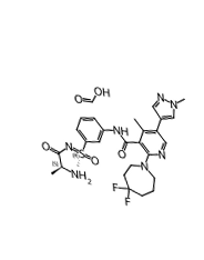 Cc1c(-c2cnn(C)c2)cnc(N2CCCC(F)(F)CC2)c1C(=O)Nc1cccc([S@@](C)(=O)=NC(=O)[C@H](C)N)c1.O=CO